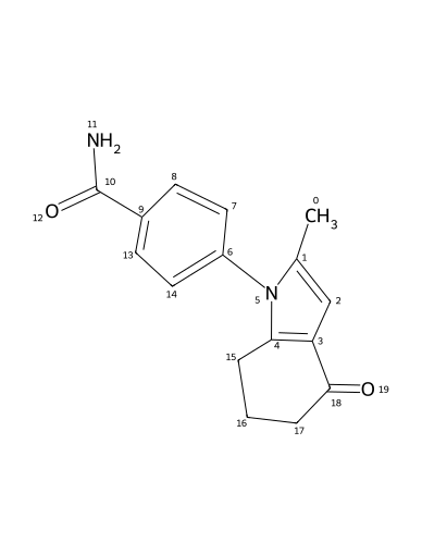 Cc1cc2c(n1-c1ccc(C(N)=O)cc1)CCCC2=O